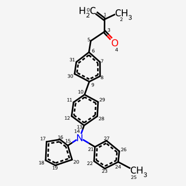 C=C(C)C(=O)Cc1ccc(-c2ccc(N(c3ccccc3)c3ccc(C)cc3)cc2)cc1